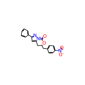 O=COC(Cc1ccc([N+](=O)[O-])cc1)Cc1cc(-c2ccccc2)n[nH]1